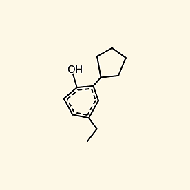 CCc1ccc(O)c(C2CCCC2)c1